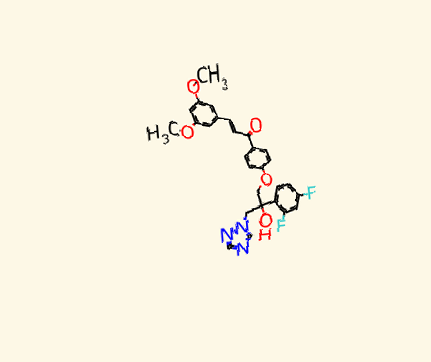 COc1cc(/C=C/C(=O)c2ccc(OCC(O)(Cn3cncn3)c3ccc(F)cc3F)cc2)cc(OC)c1